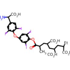 CCC(CC(CC(CC(C)C(=O)Oc1c(I)cc(Oc2c(I)cc(C(N)C(=O)O)cc2I)cc1I)C(=O)O)C(=O)O)C(=O)O